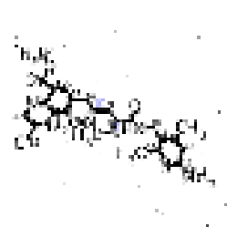 C=N/C(=C\C(=C/C)C(=O)NCc1c(C)cc(N)nc1C)Cc1cc(C(=O)OC)c2ncc(Cl)cc2c1